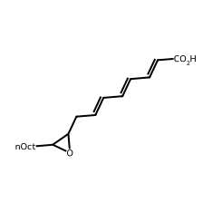 CCCCCCCCC1OC1CC=CC=CC=CC(=O)O